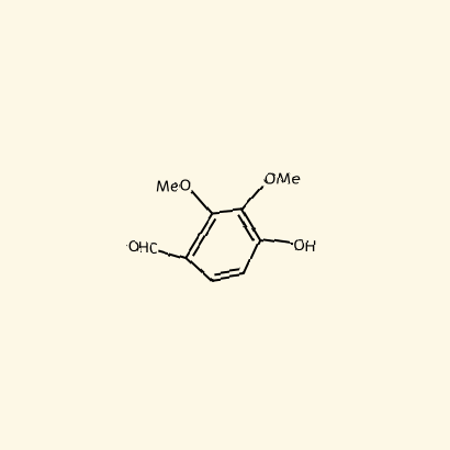 COc1c(O)ccc([C]=O)c1OC